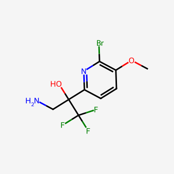 COc1ccc(C(O)(CN)C(F)(F)F)nc1Br